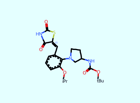 CC(C)Oc1cccc(/C=C2/SC(=O)NC2=O)c1N1CCC(NC(=O)OC(C)(C)C)C1